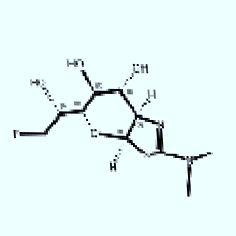 CN(C)C1=N[C@@H]2[C@@H](O)[C@H](O)[C@@H]([C@@H](O)CF)O[C@@H]2S1